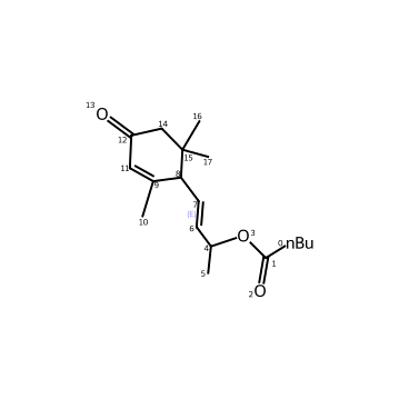 CCCCC(=O)OC(C)/C=C/C1C(C)=CC(=O)CC1(C)C